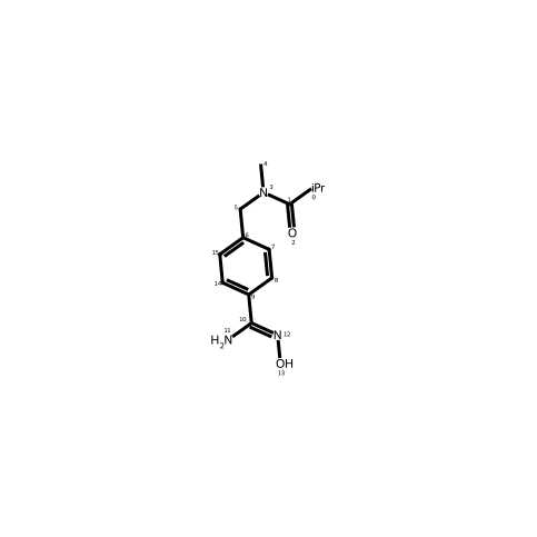 CC(C)C(=O)N(C)Cc1ccc(/C(N)=N/O)cc1